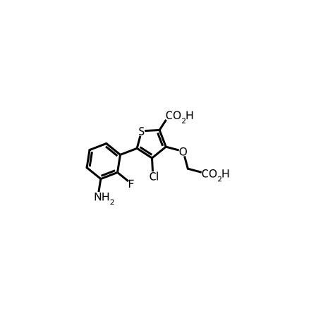 Nc1cccc(-c2sc(C(=O)O)c(OCC(=O)O)c2Cl)c1F